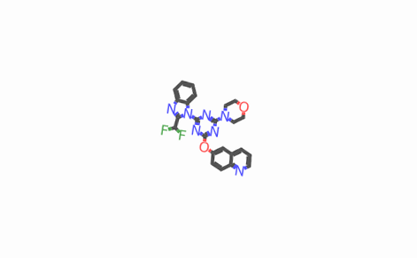 FC(F)c1nc2ccccc2n1-c1nc(Oc2ccc3ncccc3c2)nc(N2CCOCC2)n1